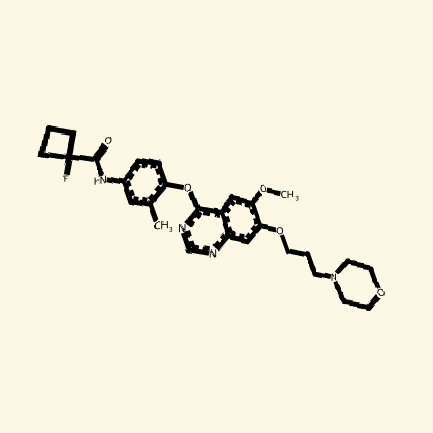 COc1cc2c(Oc3ccc(NC(=O)C4(F)CCC4)cc3C)ncnc2cc1OCCCN1CCOCC1